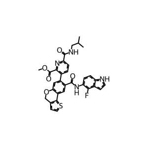 COC(=O)c1nc(C(=O)NCC(C)C)ccc1-c1cc2c(cc1C(=O)Nc1ccc3[nH]ccc3c1F)-c1sccc1CO2